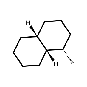 C[C@H]1CCC[C@H]2CCCC[C@H]21